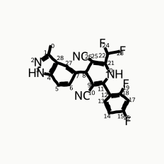 Cc1n[nH]c2ccc(C3C(C#N)=C(c4ccc(F)cc4F)NC(C(F)F)=C3C#N)cc12